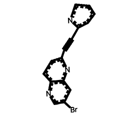 Brc1cnc2ccc(C#Cc3ccccn3)nc2c1